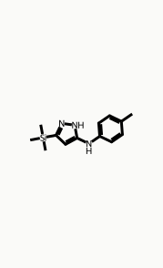 Cc1ccc(Nc2cc([Si](C)(C)C)n[nH]2)cc1